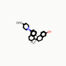 C[C@@]1(C2CCCCC2)CCc2cc(O)ccc2[C@H]1c1ccc(N2CCC(C=O)CC2)cc1